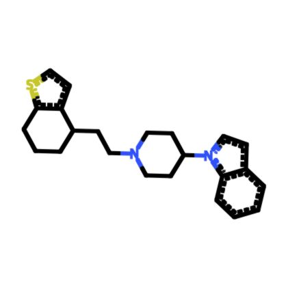 c1ccc2c(c1)ccn2C1CCN(CCC2CCCc3sccc32)CC1